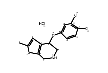 Cc1cc2c(s1)CNCC2Oc1ccc(Cl)c(Cl)c1.Cl